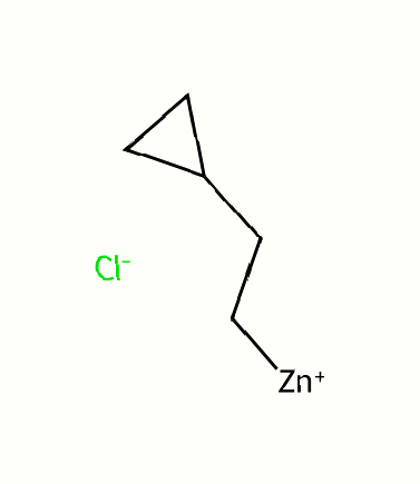 [Cl-].[Zn+][CH2]CC1CC1